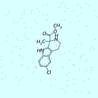 COC(=O)C1(C)NCCc2c1[nH]c1ccc(Cl)cc21